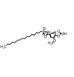 CCCCCCCCCCCCCCCCS(=O)(=O)NC(=O)c1cnc(OC(=O)O)c(OC)c1